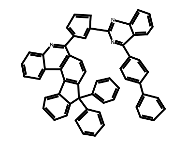 c1ccc(-c2ccc(-c3nc(-c4cccc(-c5nc6ccccc6c6c7c(ccc56)C(c5ccccc5)(c5ccccc5)c5ccccc5-7)c4)nc4ccccc34)cc2)cc1